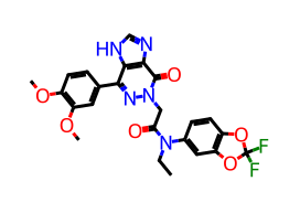 CCN(C(=O)Cn1nc(-c2ccc(OC)c(OC)c2)c2[nH]cnc2c1=O)c1ccc2c(c1)OC(F)(F)O2